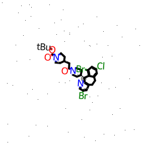 CC(C)(C)OC(=O)N1CCC(CC(=O)N2CCC([C@H]3c4ncc(Br)cc4CCc4cc(Cl)cc(Br)c43)CC2)CC1